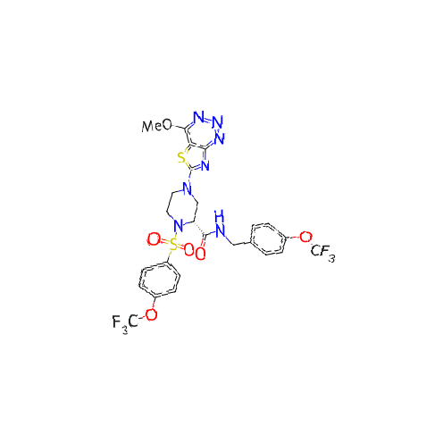 COc1nnnc2nc(N3CCN(S(=O)(=O)c4ccc(OC(F)(F)F)cc4)[C@@H](C(=O)NCc4ccc(OC(F)(F)F)cc4)C3)sc12